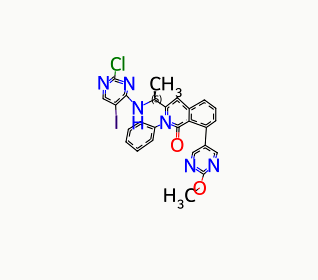 COc1ncc(-c2cccc3cc([C@H](C)Nc4nc(Cl)ncc4I)n(-c4ccccc4)c(=O)c23)cn1